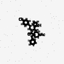 CC(=O)N1CCC(Cc2ccccc2)(C(=O)N(CCc2ccc(Cl)cc2)C(C)c2ncc[nH]2)CC1